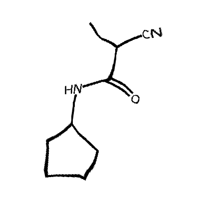 CC(C#N)C(=O)NC1CCCC1